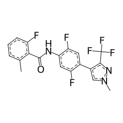 Cc1cccc(F)c1C(=O)Nc1cc(F)c(-c2cn(C)nc2C(F)(F)F)cc1F